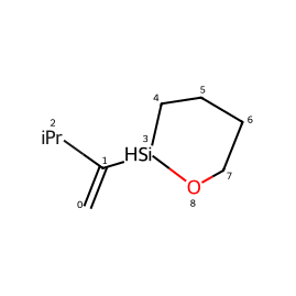 C=C(C(C)C)[SiH]1CCCCO1